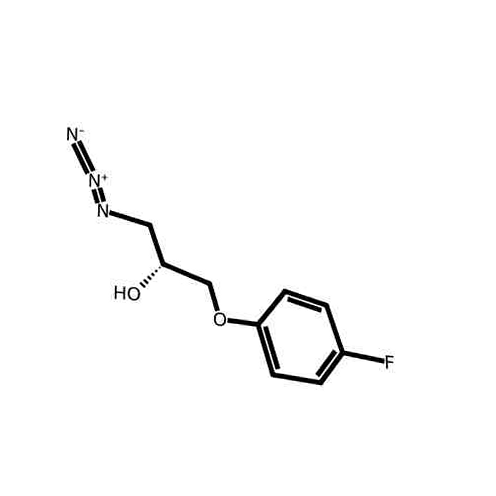 [N-]=[N+]=NC[C@@H](O)COc1ccc(F)cc1